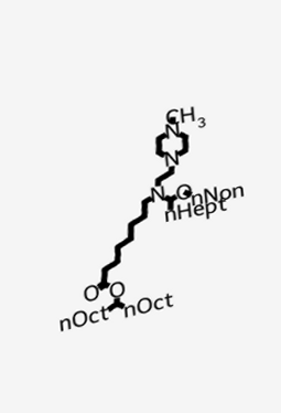 CCCCCCCCCOC(CCCCCCC)N(CCCCCCCC(=O)OC(CCCCCCCC)CCCCCCCC)CCN1CCN(C)CC1